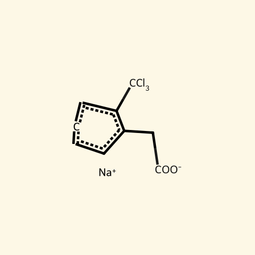 O=C([O-])Cc1ccccc1C(Cl)(Cl)Cl.[Na+]